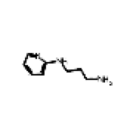 NCCCNc1c[c]ccn1